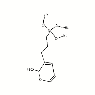 CCO[Si](CCCC1=CC=COC1O)(OCC)OCC